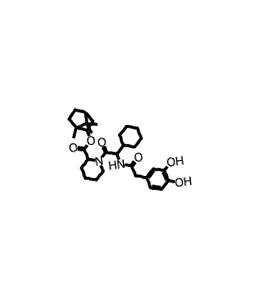 CC1(C)C2CCC1(C)C(OC(=O)C1CCCCN1C(=O)C(NC(=O)Cc1ccc(O)c(O)c1)C1CCCCC1)C2